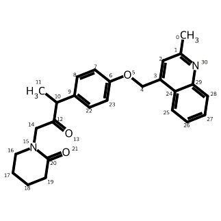 Cc1cc(COc2ccc(C(C)C(=O)CN3CCCCC3=O)cc2)c2ccccc2n1